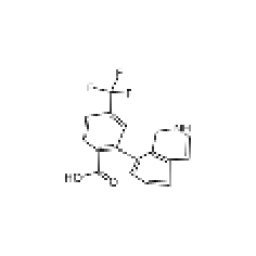 O=C(O)c1ccc(C(F)(F)F)cc1-c1cccc2c1CNC=C2